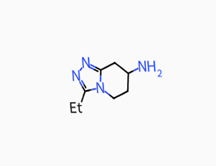 CCc1nnc2n1CCC(N)C2